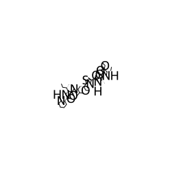 CC[C@H](NC(=O)[C@H](C)NC(=O)c1csc([C@@H](CC(C(C)C)N(C)C(=O)[C@@H](NC(=O)[C@H]2CCCCN2C)[C@@H](C)CC)OC)n1)C(=O)OC